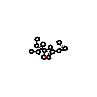 c1ccc(-c2cccc([Si](c3ccccc3)(c3cccc(-c4ccccc4)c3)c3cc(-c4ccccc4)c(-n4c5ccccc5c5cc(-c6ccc7c8ccccc8n(-c8ccccc8)c7c6)ccc54)c(-c4ccccc4)c3)c2)cc1